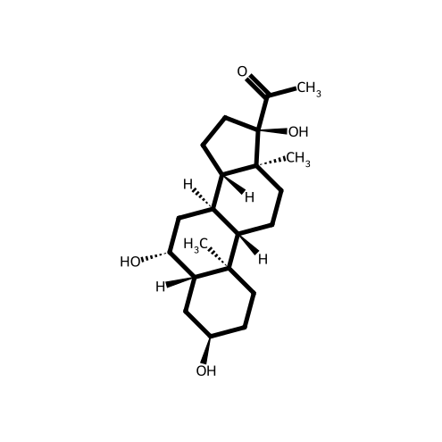 CC(=O)[C@@]1(O)CC[C@H]2[C@@H]3C[C@@H](O)[C@H]4C[C@H](O)CC[C@]4(C)[C@H]3CC[C@@]21C